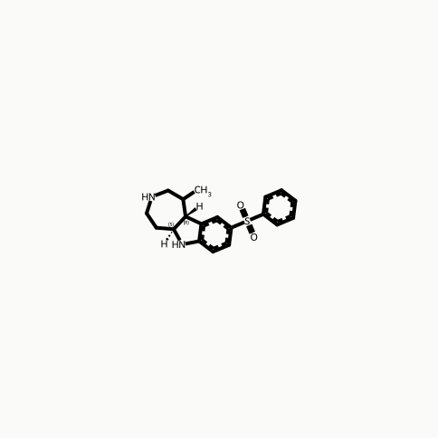 CC1CNCC[C@@H]2Nc3ccc(S(=O)(=O)c4ccccc4)cc3[C@@H]12